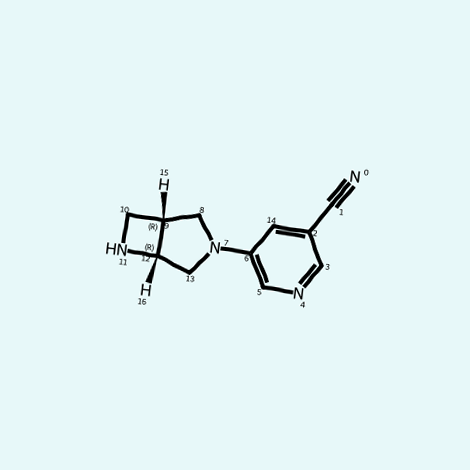 N#Cc1cncc(N2C[C@H]3CN[C@H]3C2)c1